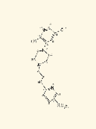 CCOC(=O)c1ccc(OCCN2CCN(c3cc(Cl)nnc3Cl)CC2)nc1